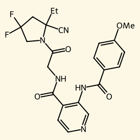 CCC1(C#N)CC(F)(F)CN1C(=O)CNC(=O)c1ccncc1NC(=O)c1ccc(OC)cc1